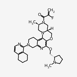 C=C(F)C(=O)N1C[C@@H]2COc3c(OC[C@@H]4CCCN4C)nc4c(c3N2C[C@H]1C)CCN(c1nccc2c1CCCC2)C4